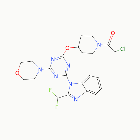 O=C(CCl)N1CCC(Oc2nc(N3CCOCC3)nc(-n3c(C(F)F)nc4ccccc43)n2)CC1